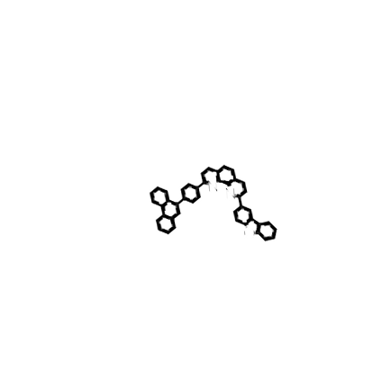 c1ccc2c(c1)cc(-c1ccc(-c3ccc4ccc5ccc(-c6ccc7oc8ccccc8c7c6)nc5c4n3)cc1)c1ccccc12